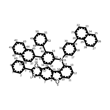 c1ccc(-c2nc3cc4oc5cccc(N(c6ccc(-c7cccc8ccccc78)cc6)c6ccc(-c7ccc8ccccc8c7)c(-c7ccccc7)c6)c5c4cc3o2)cc1